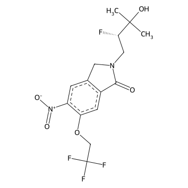 CC(C)(O)[C@@H](F)CN1Cc2cc([N+](=O)[O-])c(OCC(F)(F)F)cc2C1=O